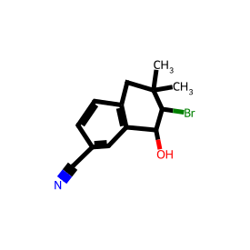 CC1(C)Cc2ccc(C#N)cc2C(O)C1Br